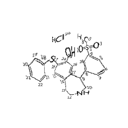 CS(=O)(=O)c1cccc(C2CNCCc3cc(Sc4ccccc4)c(O)cc32)c1.Cl